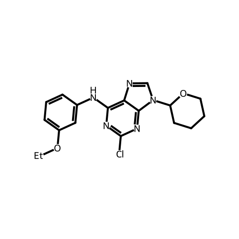 CCOc1cccc(Nc2nc(Cl)nc3c2ncn3C2CCCCO2)c1